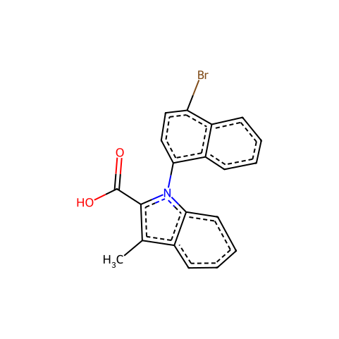 Cc1c(C(=O)O)n(-c2ccc(Br)c3ccccc23)c2ccccc12